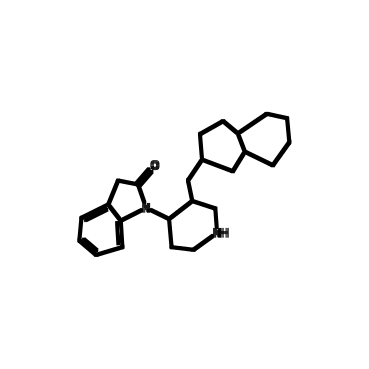 O=C1Cc2ccccc2N1C1CCNCC1CC1CCC2CCCCC2C1